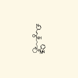 O=C(C=Cc1cccnc1)NCCCCN1CCCCC1n1nnc2ccccc21